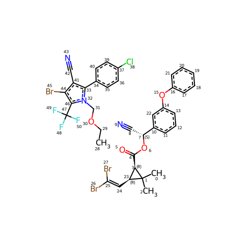 CC1(C)[C@H](C(=O)O[C@H](C#N)c2cccc(Oc3ccccc3)c2)[C@@H]1C=C(Br)Br.CCOCn1c(-c2ccc(Cl)cc2)c(C#N)c(Br)c1C(F)(F)F